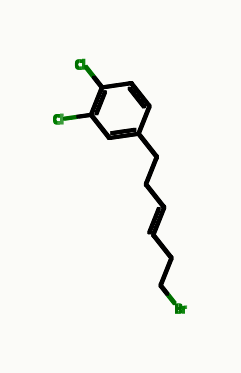 Clc1ccc(CCC=CCCBr)cc1Cl